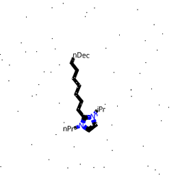 CCCCCCCCCCCCCCCCCc1n(CCC)cc[n+]1C(C)C